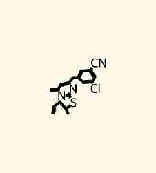 C=CC1C(C)SC2=NC(Cc3cc(Cl)cc(C#N)c3)=CC(=C)N21